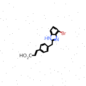 O=C(O)/C=C/c1ccc(Cc2nc3c(Br)cccc3[nH]2)cc1